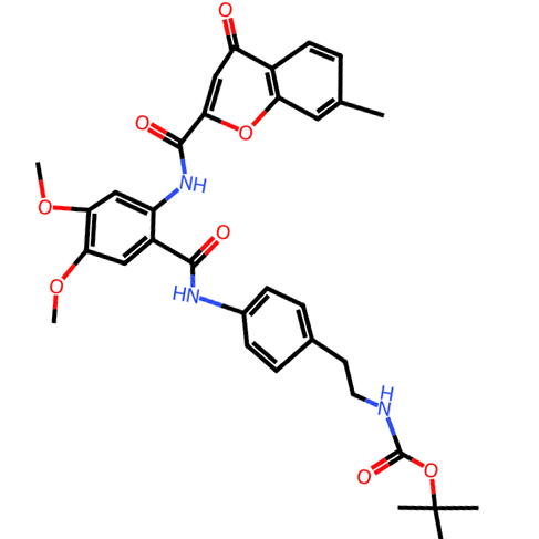 COc1cc(NC(=O)c2cc(=O)c3ccc(C)cc3o2)c(C(=O)Nc2ccc(CCNC(=O)OC(C)(C)C)cc2)cc1OC